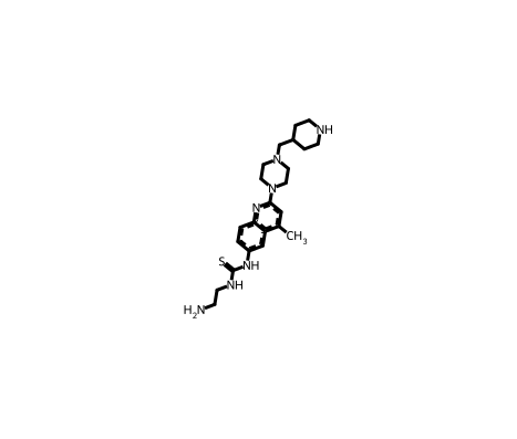 Cc1cc(N2CCN(CC3CCNCC3)CC2)nc2ccc(NC(=S)NCCN)cc12